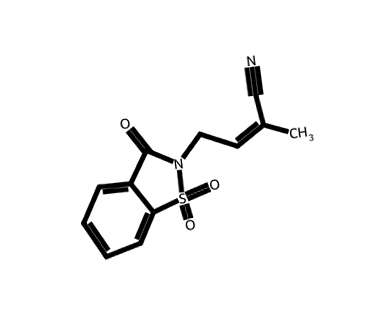 CC(C#N)=CCN1C(=O)c2ccccc2S1(=O)=O